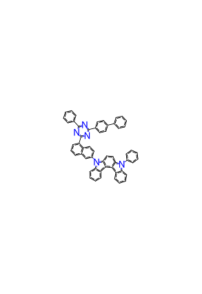 c1ccc(-c2ccc(-c3nc(-c4ccccc4)nc(-c4cccc5cc(-n6c7ccccc7c7c8c9ccccc9n(-c9ccccc9)c8ccc76)ccc45)n3)cc2)cc1